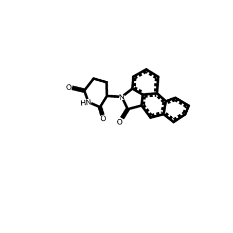 O=C1CCC(N2C(=O)c3cc4ccccc4c4cccc2c34)C(=O)N1